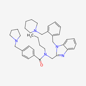 CCCCN(Cc1nc2ccccc2n1Cc1ccccc1CN1CCCCC1)C(=O)c1ccc(CN2CCCC2)cc1